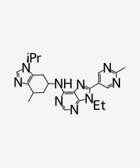 CCn1c(-c2cnc(C)nc2)nc2c(NC3Cc4c(ncn4C(C)C)C(C)C3)ncnc21